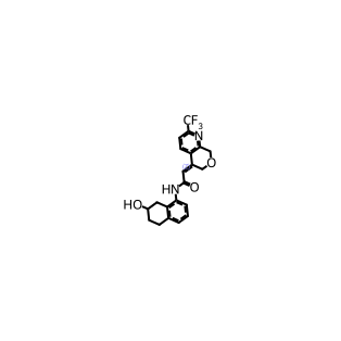 O=C(/C=C1\COCc2nc(C(F)(F)F)ccc21)Nc1cccc2c1CC(O)CC2